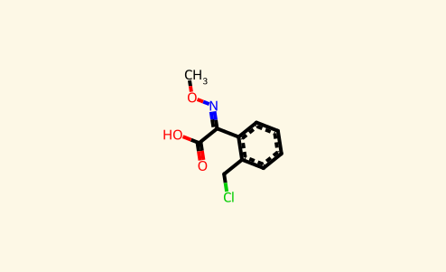 CO/N=C(\C(=O)O)c1ccccc1CCl